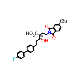 CC(C)(C)c1ccc2c(c1)C(=O)N(CC[C@@H](C(=O)O)[C@H](O)CCc1ccc(-c3ccc(F)cc3)cc1)C2=O